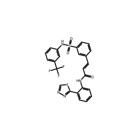 O=C(/C=C/c1cccc(S(=O)(=O)Nc2cccc(C(F)(F)F)c2)c1)Nc1ccccc1-c1nncs1